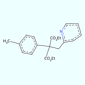 CCOC(=O)C(Cc1ccccn1)(C(=O)OCC)c1ccc(C)cc1